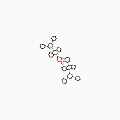 c1ccc(-c2cc(-c3ccccc3)cc(-c3c4ccccc4c(-c4ccc5oc6c(-c7c8ccccc8c(-c8cc(-c9ccccc9)cc(-c9ccccc9)c8)c8ccccc78)cccc6c5c4)c4ccccc34)c2)cc1